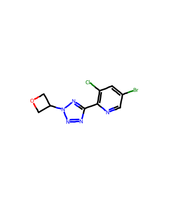 Clc1cc(Br)cnc1-c1nnn(C2COC2)n1